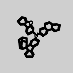 c1ccc2c(c1)-c1ccc(N(c3ccc4c(ccc5ccccc54)c3)c3ccc4c(c3)oc3ccccc34)cc1C21C2CC3CC(C2)CC1C3